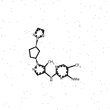 CNc1nc(Nc2cnn([C@H]3CC[C@@H](n4nccn4)C3)c2C)ncc1C(F)(F)F